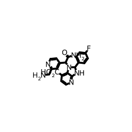 NCc1cc(C(C(N)=O)N2c3c(C(=O)O)ccnc3NC2c2ccc(F)cc2)ccn1